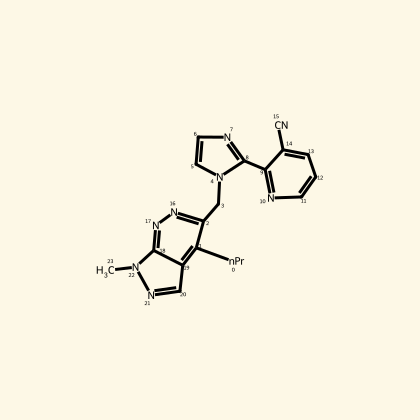 CCCc1c(Cn2ccnc2-c2ncccc2C#N)nnc2c1cnn2C